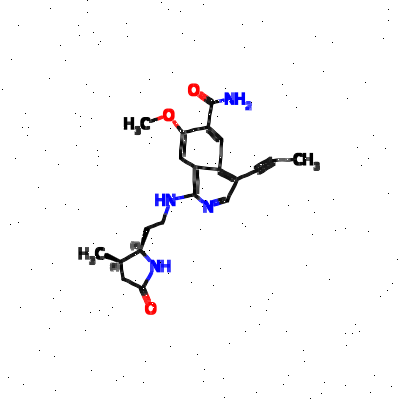 CC#Cc1cnc(NCC[C@H]2NC(=O)C[C@H]2C)c2cc(OC)c(C(N)=O)cc12